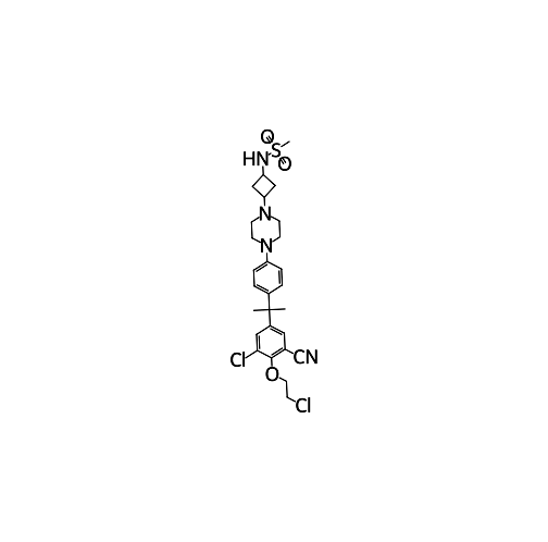 CC(C)(c1ccc(N2CCN(C3CC(NS(C)(=O)=O)C3)CC2)cc1)c1cc(Cl)c(OCCCl)c(C#N)c1